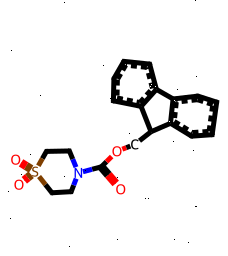 O=C(OCC1c2ccccc2-c2ccccc21)N1CCS(=O)(=O)CC1